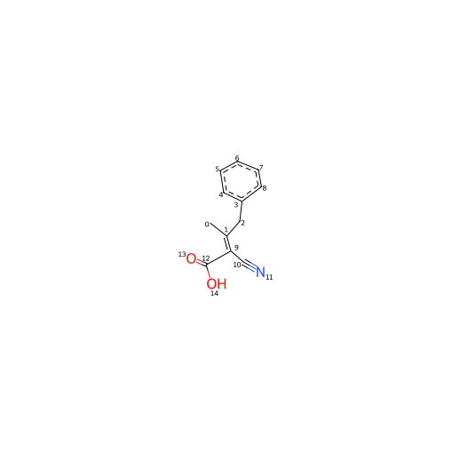 C/C(Cc1ccccc1)=C(/C#N)C(=O)O